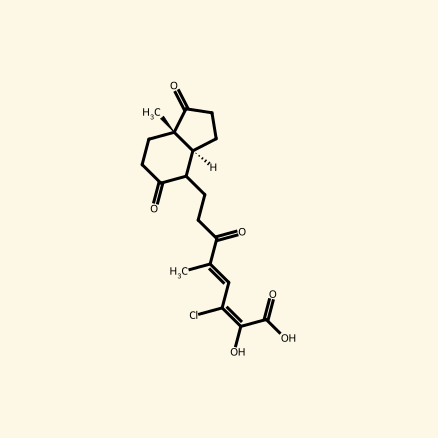 C/C(=C\C(Cl)=C(\O)C(=O)O)C(=O)CCC1C(=O)CC[C@]2(C)C(=O)CC[C@@H]12